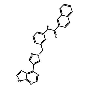 O=C(Nc1cccc(Cn2cc(-c3ncnc4[nH]ccc34)cn2)c1)c1ccc2ccccc2c1